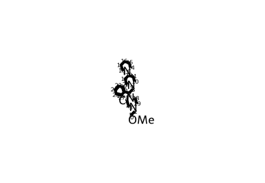 COCCN1CCN(C(CN2CCC(N3CCCCC3)CC2)c2ccccc2Cl)CC1